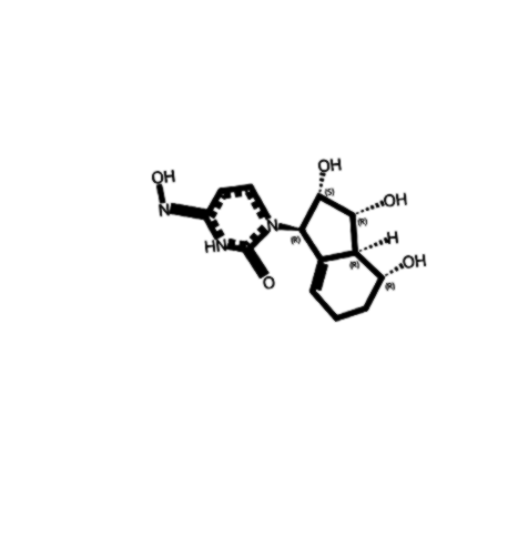 O=c1[nH]c(=NO)ccn1[C@@H]1C2=CCC[C@@H](O)[C@@H]2[C@@H](O)[C@H]1O